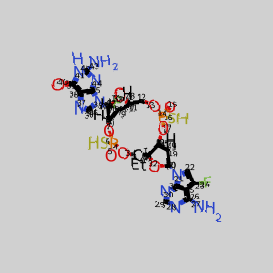 CC[C@@]12COP(=O)(S)O[C@@H]3[C@H](F)[C@@H](COP(=O)(S)O[C@H]1C[C@H](n1cc(F)c4c(N)ncnc41)O2)O[C@H]3n1cnc2c(=O)[nH]c(N)nc21